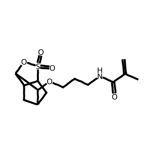 C=C(C)C(=O)NCCCOC1C2CC3C1OS(=O)(=O)C3C2